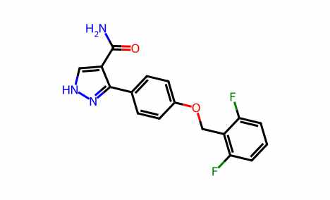 NC(=O)c1c[nH]nc1-c1ccc(OCc2c(F)cccc2F)cc1